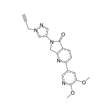 C#CCn1cc(N2Cc3nc(-c4cnc(OC)c(OC)c4)ccc3C2=O)cn1